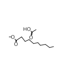 CC(=O)O.CCCCCCCCCC(=O)OC